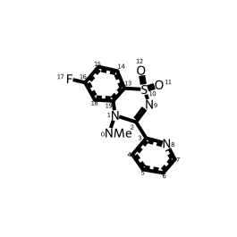 CNN1C(c2ccccn2)=NS(=O)(=O)c2ccc(F)cc21